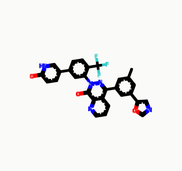 Cc1cc(-c2cnco2)cc(-c2nn(-c3cc(-c4ccc(=O)[nH]c4)ccc3C(F)(F)F)c(=O)c3ncccc23)c1